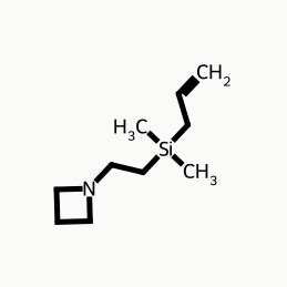 C=CC[Si](C)(C)CCN1CCC1